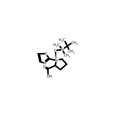 CC(C)(C)[Si](C)(C)O[N@@+]1(c2nccs2)CCCC1C(=O)O